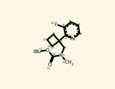 CN(CC1(c2ncccc2F)CCC1)C(=O)OC(C)(C)C